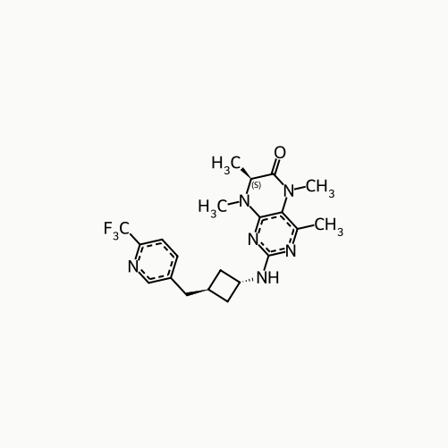 Cc1nc(N[C@H]2C[C@H](Cc3ccc(C(F)(F)F)nc3)C2)nc2c1N(C)C(=O)[C@H](C)N2C